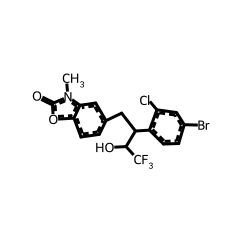 Cn1c(=O)oc2ccc(CC(c3ccc(Br)cc3Cl)C(O)C(F)(F)F)cc21